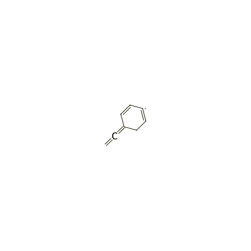 C=C=C1C=C[C]=CC1